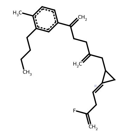 C=C(F)C/C=C1\CC1CC(=C)CCC(=C)c1ccc(C)c(CCCC)c1